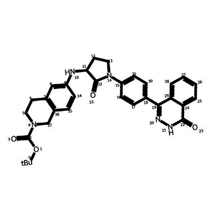 CC(C)(C)OC(=O)N1CCc2cc(NC3CCN(c4ccc(-c5n[nH]c(=O)c6ccccc56)cc4)C3=O)ccc2C1